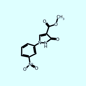 COC(=O)c1cn(-c2cccc([N+](=O)[O-])c2)[nH]c1=O